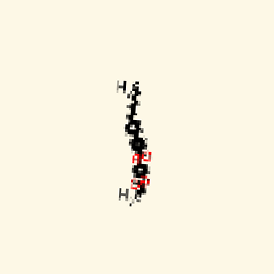 CCCCCCCC1CCC(c2ccc(C(=O)Oc3ccc(OC(=O)CC)cc3)cc2)CC1